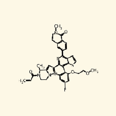 C=CC(=O)N1CCn2nc(-c3nc(-c4ccc5c(c4)CCN(C)C5=O)c4ccsc4c3-c3c(F)cc(F)cc3OCCOC)cc2C1C